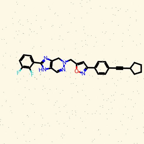 Fc1cccc(-c2nc3c([nH]2)C=NN(Cc2cc(-c4ccc(C#CC5CCCC5)cc4)no2)C3)c1F